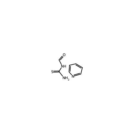 NC(=S)NC=O.c1ccncc1